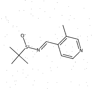 Cc1cnccc1C=N[S+]([O-])C(C)(C)C